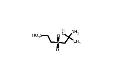 CC(C)(N)CS(=O)(=O)CCS(=O)(=O)O